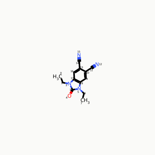 CCn1c(=O)n(CC)c2cc(C#N)c(C#N)cc21